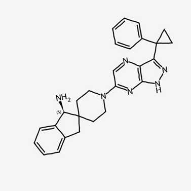 N[C@@H]1c2ccccc2CC12CCN(c1cnc3c(C4(c5ccccc5)CC4)n[nH]c3n1)CC2